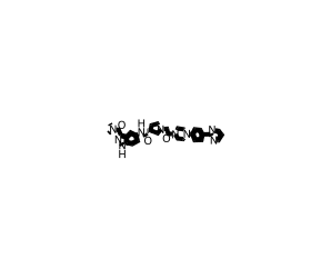 CN(C)C(=O)c1n[nH]c2ccc(NC(=O)[C@@H]3CCN(CC(=O)N4CCN(c5ccc(-c6ncccn6)cc5)CC4)C3)cc12